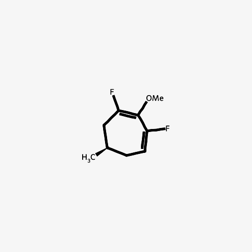 COC1=C(F)C[C@H](C)CC=C1F